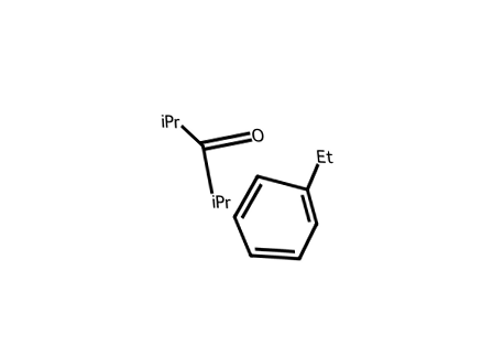 CC(C)C(=O)C(C)C.CCc1ccccc1